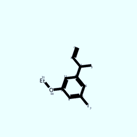 C=C[C](C)c1cc(I)cc(OCC)c1